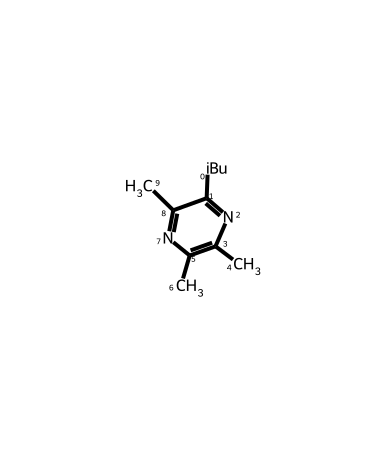 CCC(C)c1nc(C)c(C)nc1C